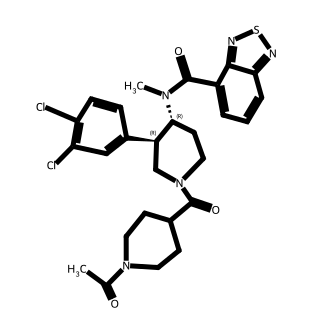 CC(=O)N1CCC(C(=O)N2CC[C@@H](N(C)C(=O)c3cccc4nsnc34)[C@H](c3ccc(Cl)c(Cl)c3)C2)CC1